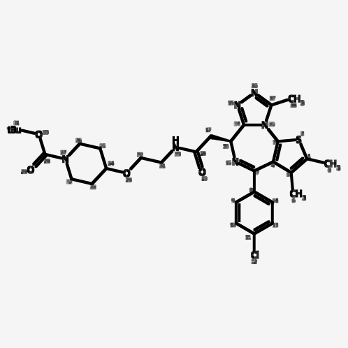 Cc1sc2c(c1C)C(c1ccc(Cl)cc1)=N[C@@H](CC(=O)NCCOC1CCN(C(=O)OC(C)(C)C)CC1)c1nnc(C)n1-2